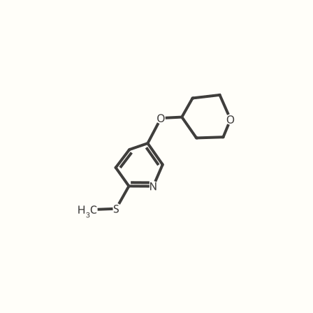 CSc1ccc(OC2CCOCC2)cn1